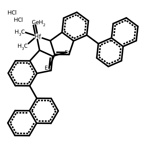 CCC1=Cc2c(-c3cccc4ccccc34)cccc2[CH]1[Hf]([CH3])([CH3])(=[GeH2])[CH]1C(CC)=Cc2c(-c3cccc4ccccc34)cccc21.Cl.Cl